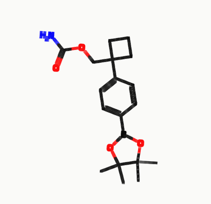 CC1(C)OB(c2ccc(C3(COC(N)=O)CCC3)cc2)OC1(C)C